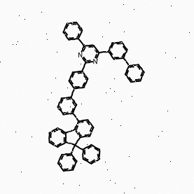 c1ccc(-c2cccc(-c3cc(-c4ccccc4)nc(-c4ccc(-c5cccc(-c6cccc7c6-c6ccccc6C7(c6ccccc6)c6ccccc6)c5)cc4)n3)c2)cc1